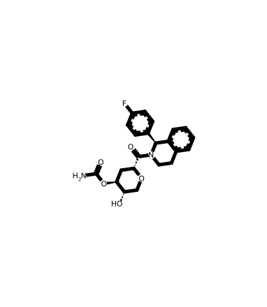 NC(=O)O[C@H]1C[C@H](C(=O)N2CCc3ccccc3[C@@H]2c2ccc(F)cc2)OC[C@@H]1O